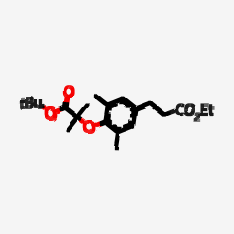 CCOC(=O)CCc1cc(C)c(OC(C)(C)C(=O)OC(C)(C)C)c(C)c1